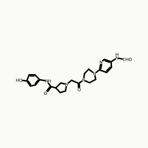 O=CNc1ccc(N2CCN(C(=O)CN3CCC(C(=O)Nc4ccc(O)cc4)C3)CC2)nc1